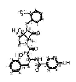 Cc1ccccc1CN1C(=O)[C@H]2N(C(=O)[C@@H](O)[C@H](Cc3ccccc3)NC(=O)c3ccc(O)nc3)CSC21C